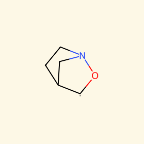 [CH]1ON2CCC1C2